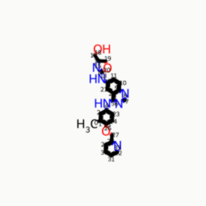 Cc1cc(Nc2ncnc3ccc(NC4=NC(CO)CO4)cc23)ccc1OCc1ccccn1